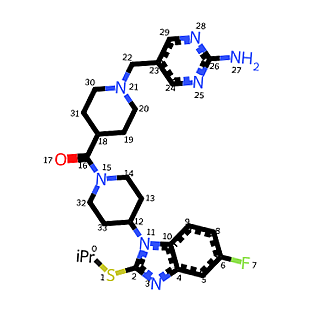 CC(C)Sc1nc2cc(F)ccc2n1C1CCN(C(=O)C2CCN(Cc3cnc(N)nc3)CC2)CC1